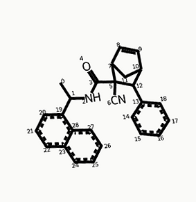 CC(NC(=O)C1(C#N)C2C=CC(C2)C1c1ccccc1)c1cccc2ccccc12